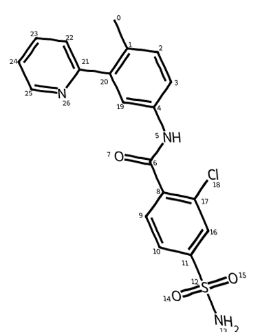 Cc1ccc(NC(=O)c2ccc(S(N)(=O)=O)cc2Cl)cc1-c1ccccn1